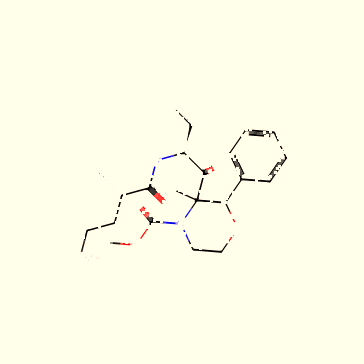 CSCC[C@H](N)C(=O)N[C@@H](CC(=O)O)C(=O)C1(C)C(c2ccccc2)OCCN1C(=O)OC(C)(C)C